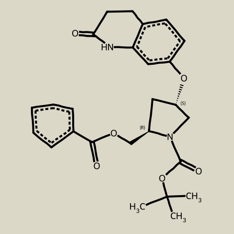 CC(C)(C)OC(=O)N1C[C@@H](Oc2ccc3c(c2)NC(=O)CC3)C[C@@H]1COC(=O)c1ccccc1